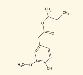 CCC(C)OC(=O)Cc1ccc(O)c(OC)c1